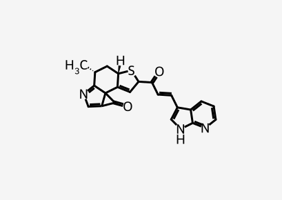 C[C@@H]1C[C@@H]2SC(C(=O)/C=C/c3c[nH]c4ncccc34)C=C2C23C(=O)C2=CN=C13